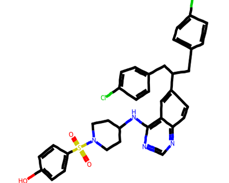 O=S(=O)(c1ccc(O)cc1)N1CCC(Nc2ncnc3ccc(C(Cc4ccc(Cl)cc4)Cc4ccc(Cl)cc4)cc23)CC1